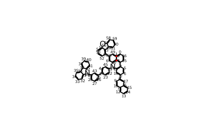 c1ccc(-c2ccc(-c3ccc4ccccc4c3)cc2N(c2ccc(-c3cccc(-n4c5ccccc5c5ccccc54)c3)cc2)c2cccc(-c3cccc4oc5ccccc5c34)c2)cc1